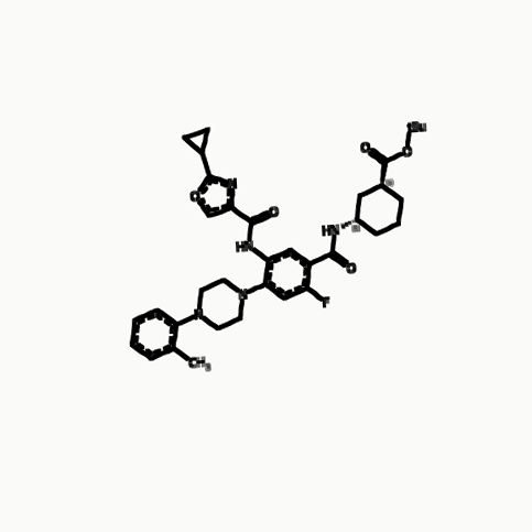 Cc1ccccc1N1CCN(c2cc(F)c(C(=O)N[C@H]3CCC[C@H](C(=O)OC(C)(C)C)C3)cc2NC(=O)c2coc(C3CC3)n2)CC1